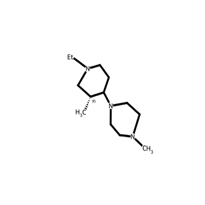 CCN1CCC(N2CCN(C)CC2)[C@H](C)C1